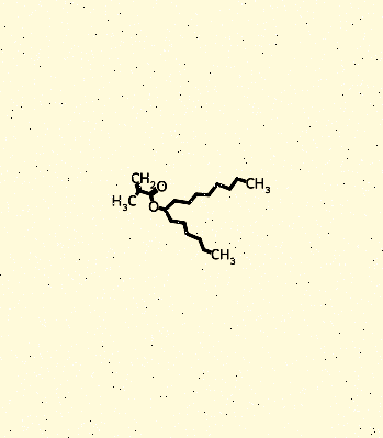 C=C(C)C(=O)OC(CCCCCC)CCCCCCCC